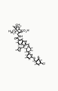 C[C@]12C[C@@H](C(=O)O)[N@+](C)(C(=O)CNC(=O)c3ccc4c(c3)nc(CN3CCC(c5cccc(OCc6ccc(Cl)cc6F)n5)CC3)n4C[C@@H]3CCO3)[C@@]1(C)C2